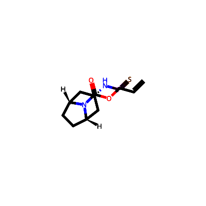 C=CCOC(=O)N1[C@@H]2CC[C@H]1C[C@@H](NP=S)C2